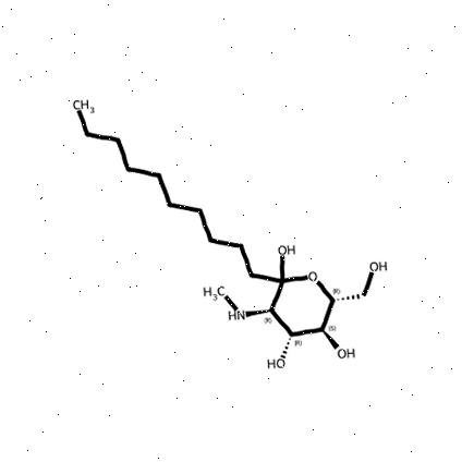 CCCCCCCCCCC1(O)O[C@H](CO)[C@@H](O)[C@H](O)[C@H]1NC